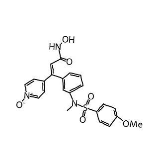 COc1ccc(S(=O)(=O)N(C)c2cccc(/C(=C\C(=O)NO)c3cc[n+]([O-])cc3)c2)cc1